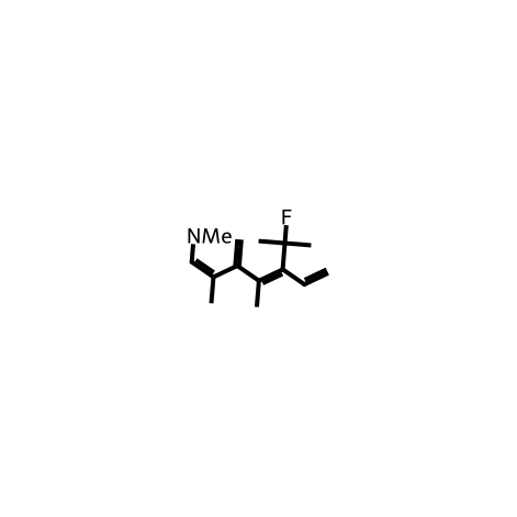 C=C/C(=C(\C)C(=C)/C(C)=C\NC)C(C)(C)F